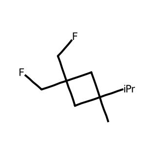 CC(C)C1(C)CC(CF)(CF)C1